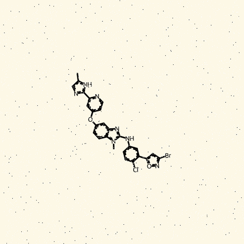 Cc1cnc(-c2cc(Oc3ccc4c(c3)nc(Nc3ccc(Cl)c(-c5cc(Br)no5)c3)n4C)ccn2)[nH]1